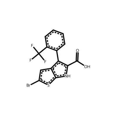 O=C(O)c1[nH]c2sc(Br)cc2c1-c1ccccc1C(F)(F)F